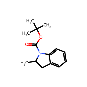 CC1Cc2ccccc2N1C(=O)OC(C)(C)C